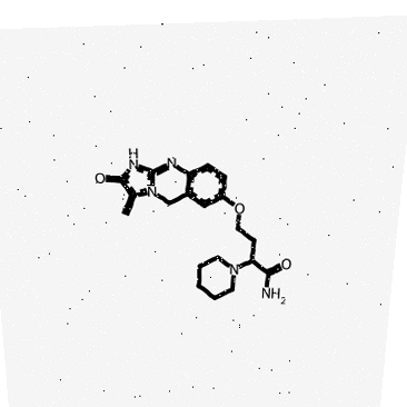 C=c1c(=O)[nH]c2n1Cc1cc(OCCC(C(N)=O)N3CCCCC3)ccc1N=2